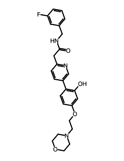 O=C(Cc1ccc(-c2ccc(OCCN3CCOCC3)cc2O)cn1)NCc1cccc(F)c1